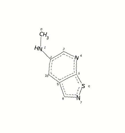 CNc1cnc2sncc2c1